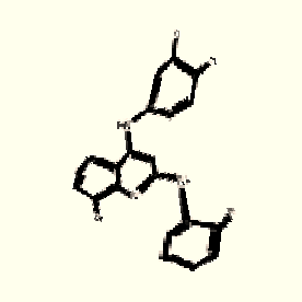 Fc1ccccc1Nc1cc(Nc2ccc(Cl)c(Cl)c2)c2cccc(Br)c2n1